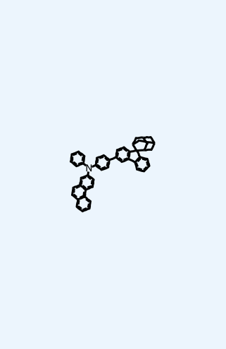 c1ccc(N(c2ccc(-c3ccc4c(c3)-c3ccccc3C43C4CC5CC(C4)CC3C5)cc2)c2ccc3c(ccc4ccccc43)c2)cc1